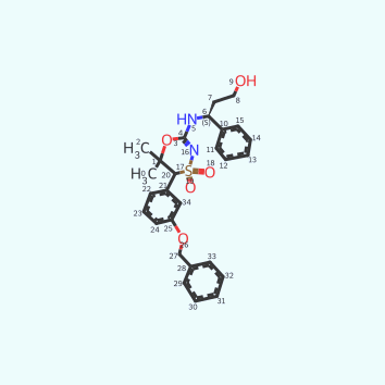 CC1(C)OC(N[C@@H](CCO)c2ccccc2)=NS(=O)(=O)C1c1cccc(OCc2ccccc2)c1